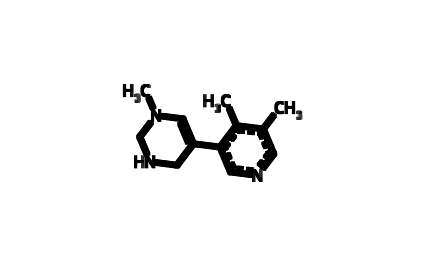 Cc1cncc(C2=CN(C)CNC2)c1C